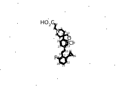 Cl.O=C(O)CCN1CCC2(CC1)COc1cc(/C=C/c3c(F)cccc3C3CC3)ccc12